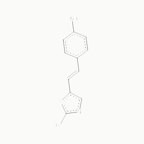 Nc1ccc(/C=C/c2cnc(Br)s2)cc1